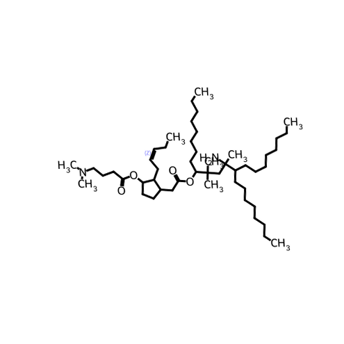 CC/C=C\CC1C(CC(=O)OC(CCCCCCCC)C(C)(C)CC(C)(N)C(CCCCCCCC)CCCCCCCC)CCC1OC(=O)CCCN(C)C